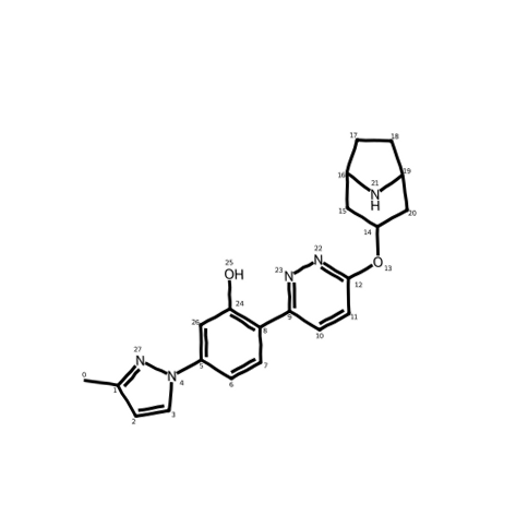 Cc1ccn(-c2ccc(-c3ccc(OC4CC5CCC(C4)N5)nn3)c(O)c2)n1